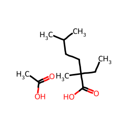 CC(=O)O.CCC(C)(CCC(C)C)C(=O)O